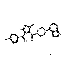 Cc1ccc(C(=O)c2c(C)cn(C)c2C(=O)N2CCN(c3ncnc4sccc34)CC2)cc1